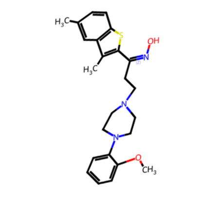 COc1ccccc1N1CCN(CC/C(=N/O)c2sc3ccc(C)cc3c2C)CC1